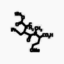 COCCC(C(=O)O)N(C)C(=O)C(CC(C)C)N(C)C(=O)OC(C)(C)C